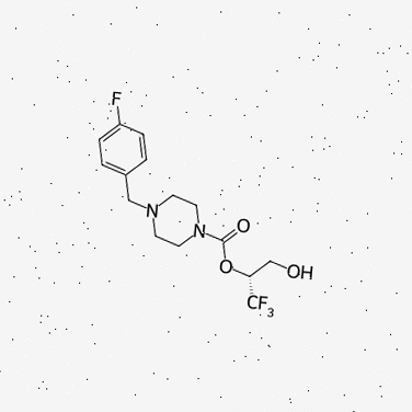 O=C(O[C@H](CO)C(F)(F)F)N1CCN(Cc2ccc(F)cc2)CC1